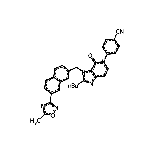 CCCCc1nc2ccn(-c3ccc(C#N)cc3)c(=O)c2n1Cc1ccc2ccc(-c3noc(C)n3)cc2c1